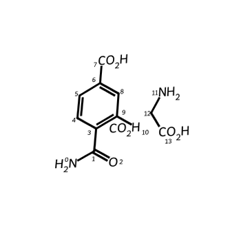 NC(=O)c1ccc(C(=O)O)cc1C(=O)O.NCC(=O)O